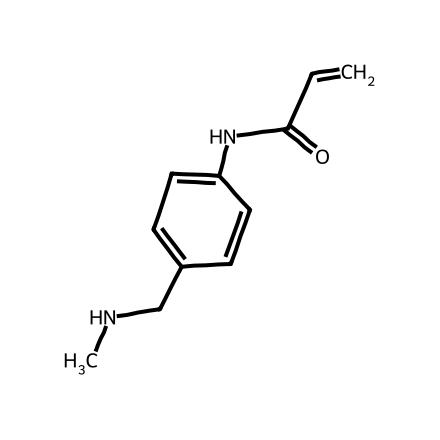 C=CC(=O)Nc1ccc(CNC)cc1